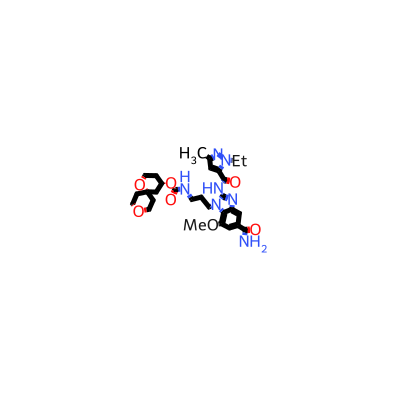 CCn1nc(C)cc1C(=O)Nc1nc2cc(C(N)=O)cc(OC)c2n1CCCNC(=O)O[C@H]1CCOC2(CCOCC2)C1